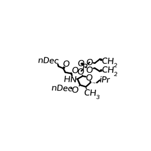 C=CCOP(=O)(OCC=C)O[C@H]1O[C@H](CC(C)C)[C@@H](C)[C@H](OCCCCCCCCCC)[C@H]1NC(=O)CC(=O)CCCCCCCCCCC